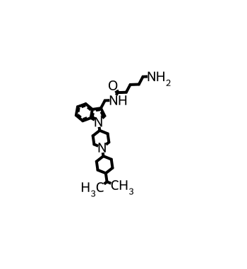 CC(C)C1CCC(N2CCC(n3cc(CNC(=O)CCCCN)c4ccccc43)CC2)CC1